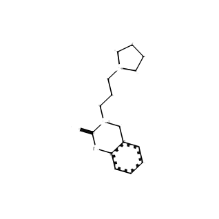 O=C1Nc2ccccc2CN1CCCN1CCCC1